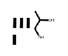 C=C.C=C.C=C.C=C.CC(O)CO